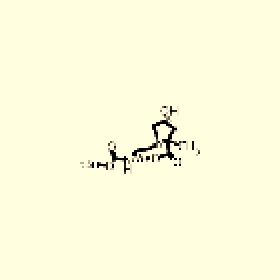 COC(=O)[C@@]1(C)C[C@@H](O)CN1CCNC(=O)OC(C)(C)C